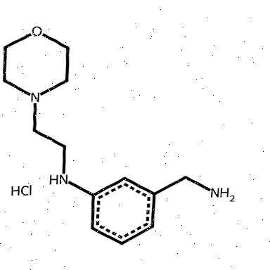 Cl.NCc1cccc(NCCN2CCOCC2)c1